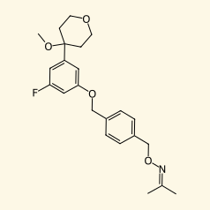 COC1(c2cc(F)cc(OCc3ccc(CON=C(C)C)cc3)c2)CCOCC1